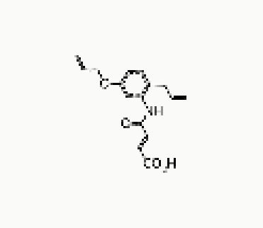 C=CCOc1ccc(CC=C)c(NC(=O)C=CC(=O)O)c1